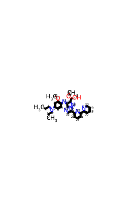 CCCN(CCC)c1ccc(/N=C2/C(C(O)OC)=Nn3c(-c4cccc(-c5ccccn5)n4)cnc32)c(OC)c1